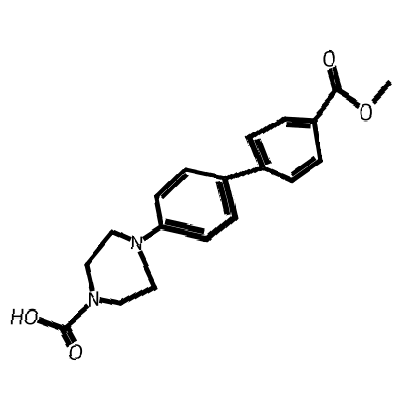 COC(=O)c1ccc(-c2ccc(N3CCN(C(=O)O)CC3)cc2)cc1